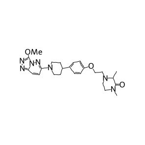 COc1nnc2ccc(N3CCC(c4ccc(OCCN5CCN(C)C(=O)C5C)cc4)CC3)nn12